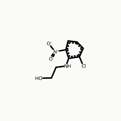 O=[N+]([O-])c1cccc(Cl)c1NCCO